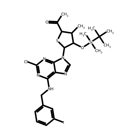 CC(=O)C1SC(n2cnc3c(NCc4cccc(I)c4)nc(Cl)nc32)C(O[Si](C)(C)C(C)(C)C)C1C